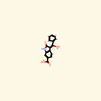 O=C1Nc2cc(C(=O)O)ccc2/C1=C(\O)c1ccccc1